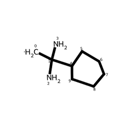 [CH2]C(N)(N)C1CCCCC1